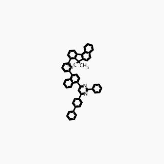 CC1(C)c2ccc3ccccc3c2-c2cccc(-c3cccc(-c4ccc(-c5cc(-c6ccc(-c7ccccc7)cc6)nc(-c6ccccc6)n5)c5ccccc45)c3)c21